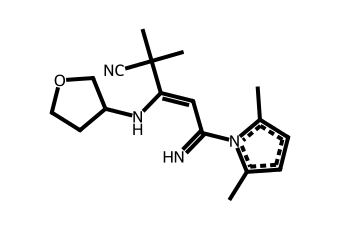 Cc1ccc(C)n1C(=N)/C=C(\NC1CCOC1)C(C)(C)C#N